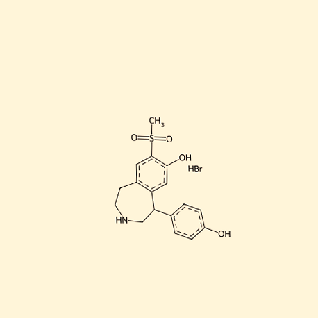 Br.CS(=O)(=O)c1cc2c(cc1O)C(c1ccc(O)cc1)CNCC2